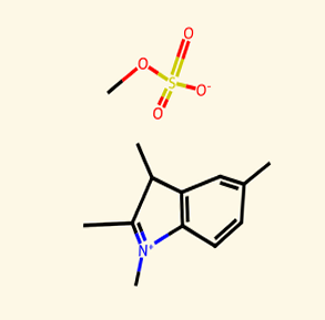 CC1=[N+](C)c2ccc(C)cc2C1C.COS(=O)(=O)[O-]